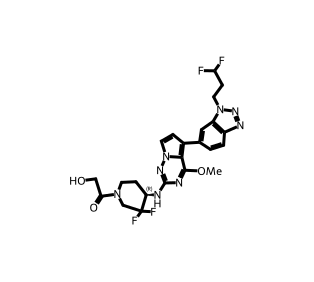 COc1nc(N[C@@H]2CCN(C(=O)CO)CC2(F)F)nn2ccc(-c3ccc4nnn(CCC(F)F)c4c3)c12